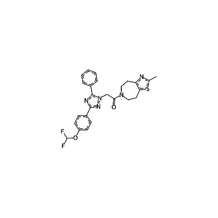 Cc1nc2c(s1)CCN(C(=O)Cn1nc(-c3ccc(OC(F)F)cc3)nc1-c1ccccc1)CC2